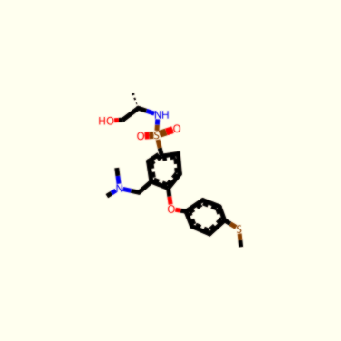 CSc1ccc(Oc2ccc(S(=O)(=O)N[C@@H](C)CO)cc2CN(C)C)cc1